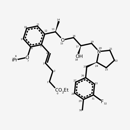 CCOC(=O)CC/C=C/c1c(OC(C)C)cccc1[C@@H](C)OC[C@H](O)CN1CCC[C@H]1Cc1ccc(C)c(F)c1